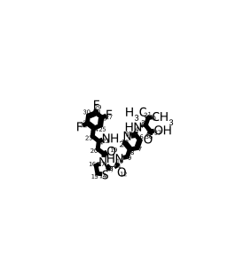 CC(C)[C@H](Nc1ccc(CNC(=O)[C@@H]2SCCN2C(=O)CC(N)Cc2cc(F)c(F)cc2F)cn1)C(=O)O